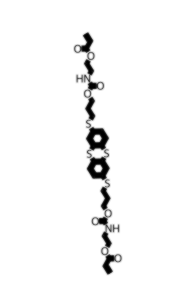 C=CC(=O)OCCNC(=O)OCCCSc1ccc2c(c1)Sc1ccc(SCCCOC(=O)NCCOC(=O)C=C)cc1S2